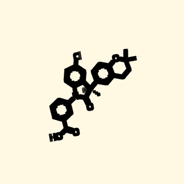 CC1(C)CCc2cc([C@@]3(C)C(=O)N(c4cccc(C(=O)O)c4)c4ccc(Cl)cc43)ccc2O1